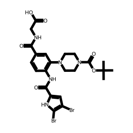 CC(C)(C)OC(=O)N1CCN(c2cc(C(=O)NCC(=O)O)ccc2NC(=O)c2cc(Br)c(Br)[nH]2)CC1